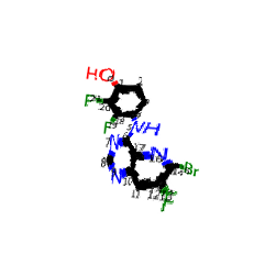 Oc1ccc(Nc2ncnc3cc(F)c(Br)nc23)c(F)c1F